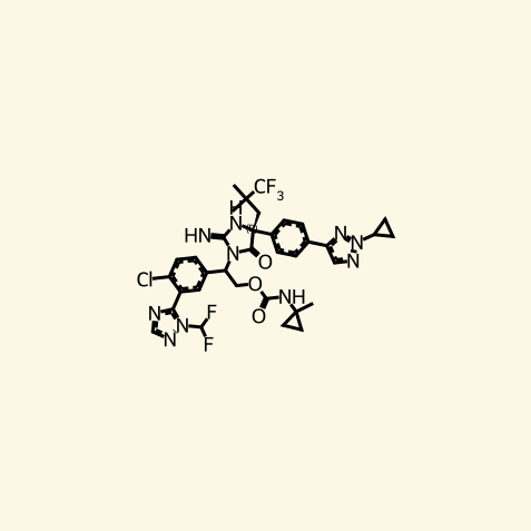 CC1(NC(=O)OCC(c2ccc(Cl)c(-c3ncnn3C(F)F)c2)N2C(=N)N[C@](CC(C)(C)C(F)(F)F)(c3ccc(-c4cnn(C5CC5)n4)cc3)C2=O)CC1